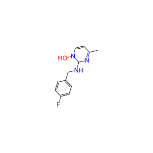 CC1=NC(NCc2ccc(F)cc2)N(O)C=C1